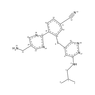 CC(C)CNc1cc(Sc2cc(C#N)ccc2-c2ncc(CN)cn2)cnn1